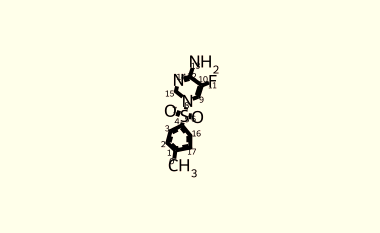 Cc1ccc(S(=O)(=O)N2C=C(F)C(N)=NC2)cc1